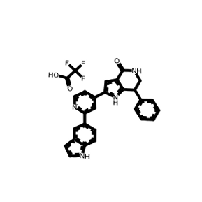 O=C(O)C(F)(F)F.O=C1NCC(c2ccccc2)c2[nH]c(-c3ccnc(-c4ccc5[nH]ccc5c4)c3)cc21